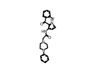 O=C(CN1CCN(c2ccccc2)CC1)Nc1cc[nH]c1C(=O)c1ccccc1F